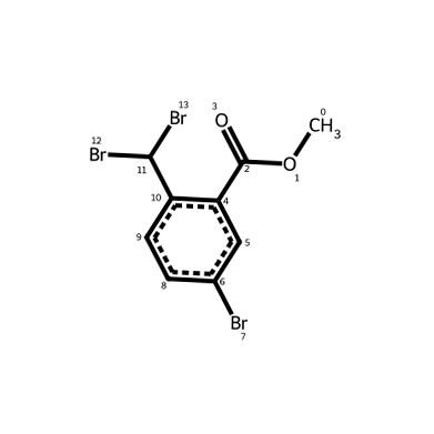 COC(=O)c1cc(Br)ccc1C(Br)Br